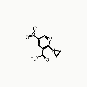 NC(=O)c1cc([N+](=O)[O-])cnc1N1CC1